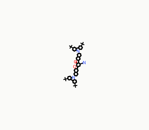 CC(C)(C)c1ccc2c(c1)c1cc(C(C)(C)C)ccc1n2-c1ccc2cc3c(cc2c1)oc1c3cc(C#N)c2c3cc4ccc(-n5c6ccc(C(C)(C)C)cc6c6cc(C(C)(C)C)ccc65)cc4cc3oc12